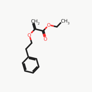 C=C(OCCc1ccccc1)C(=O)OCC